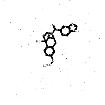 CCOC(=O)Oc1ccc2c(c1)CC1N(C(=O)c3ccc4[nH]cnc4c3)CCC2(C)C1(C)C